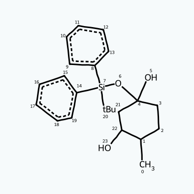 CC1CCC(O)(O[Si](c2ccccc2)(c2ccccc2)C(C)(C)C)CC1O